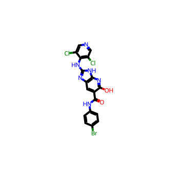 O=C(Nc1ccc(Br)cc1)c1cc2nc(Nc3c(Cl)cncc3Cl)[nH]c2nc1O